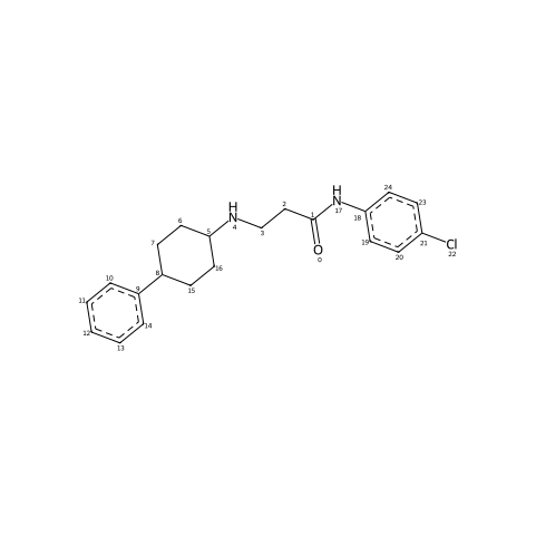 O=C(CCNC1CCC(c2ccccc2)CC1)Nc1ccc(Cl)cc1